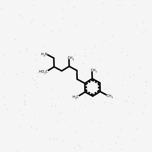 Cc1cc(C)c(CCC(C)CC(CN)C(=O)O)c(C)c1